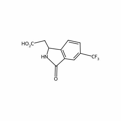 O=C(O)CC1NC(=O)c2cc(C(F)(F)F)ccc21